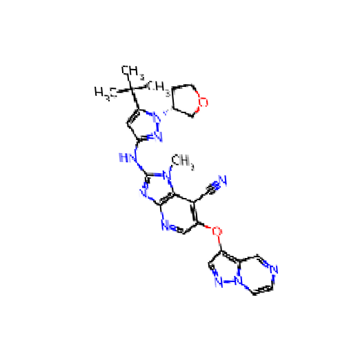 Cn1c(Nc2cc(C(C)(C)C)n([C@@H]3CCOC3)n2)nc2ncc(Oc3cnn4ccncc34)c(C#N)c21